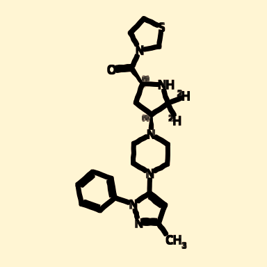 [2H]C1([2H])N[C@H](C(=O)N2CCSC2)C[C@@H]1N1CCN(c2cc(C)nn2-c2ccccc2)CC1